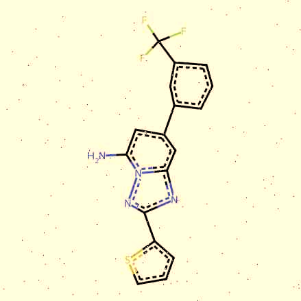 Nc1cc(-c2cccc(C(F)(F)F)c2)cc2nc(-c3cccs3)nn12